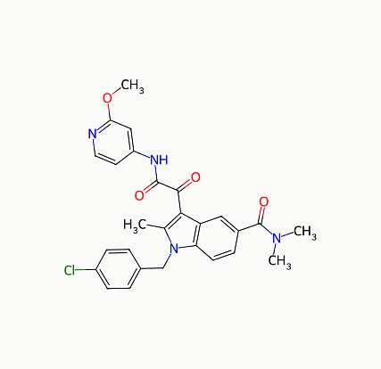 COc1cc(NC(=O)C(=O)c2c(C)n(Cc3ccc(Cl)cc3)c3ccc(C(=O)N(C)C)cc23)ccn1